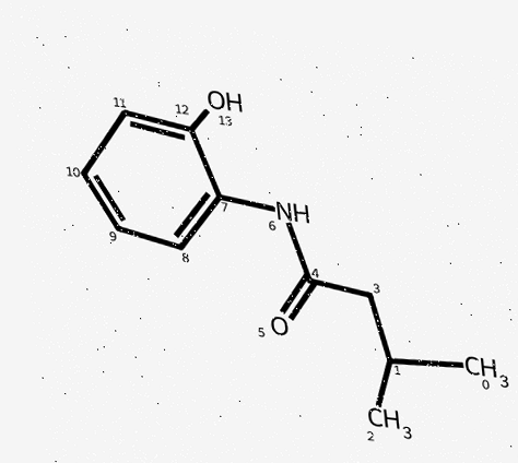 CC(C)CC(=O)Nc1ccccc1O